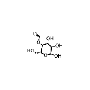 O=CO[C@@H]1[C@@H](O)[C@@H](O)[C@@H](O)O[C@@H]1CO